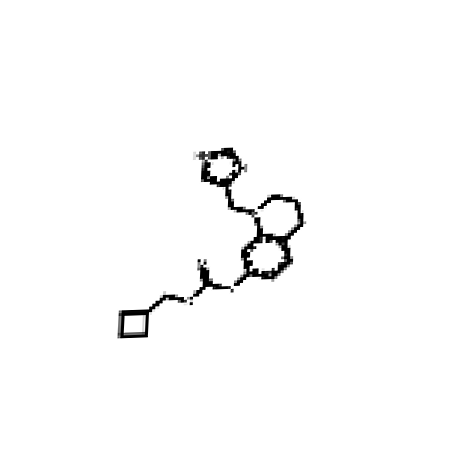 O=C(Nc1ccc2c(c1)N(Cc1c[nH]cn1)CCC2)OCC1CCC1